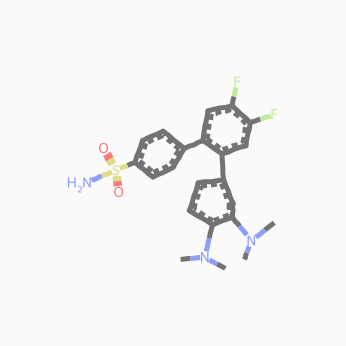 CN(C)c1ccc(-c2cc(F)c(F)cc2-c2ccc(S(N)(=O)=O)cc2)cc1N(C)C